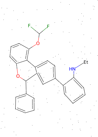 CCNc1ccccc1-c1ccc2c(c1)C(c1ccccc1)Oc1cccc(OC(F)F)c1-2